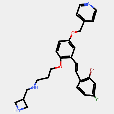 Clc1ccc(/C=C/c2cc(OCc3ccncc3)ccc2OCCCNCC2CNC2)c(Br)c1